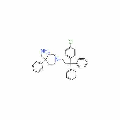 NCC1(c2ccccc2)CCN(CCC(c2ccccc2)(c2ccccc2)c2ccc(Cl)cc2)CC1